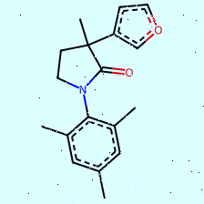 Cc1cc(C)c(N2CCC(C)(c3ccoc3)C2=O)c(C)c1